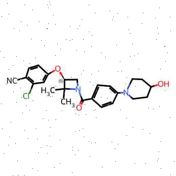 CC1(C)[C@@H](Oc2ccc(C#N)c(Cl)c2)CN1C(=O)c1ccc(N2CCC(O)CC2)cc1